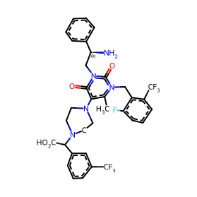 Cc1c(N2CCN(C(C(=O)O)c3cccc(C(F)(F)F)c3)CC2)c(=O)n(C[C@H](N)c2ccccc2)c(=O)n1Cc1c(F)cccc1C(F)(F)F